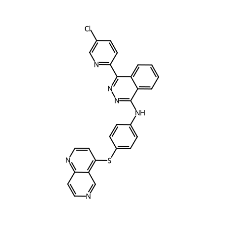 Clc1ccc(-c2nnc(Nc3ccc(Sc4ccnc5ccncc45)cc3)c3ccccc23)nc1